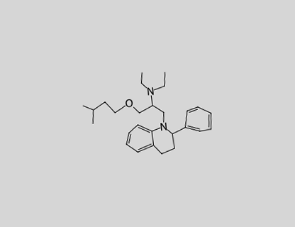 CCN(CC)C(COCCC(C)C)CN1c2ccccc2CCC1c1ccccc1